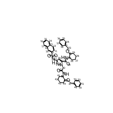 O=C(Cn1nc(NS(=O)(=O)c2ccc3ccccc3c2)cc1C(=O)N[C@H]1CCCC[C@@H]1OCc1ccccc1)N[C@H]1CCCC[C@@H]1OCc1ccccc1